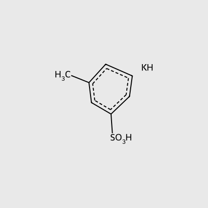 Cc1cccc(S(=O)(=O)O)c1.[KH]